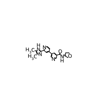 Cc1nc(-c2cc(-c3cncc(C(=O)N[C@@H]4CCOC4)c3)ccn2)[nH]c1C